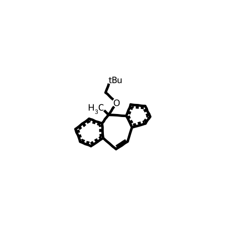 CC(C)(C)COC1(C)c2ccccc2C=Cc2ccccc21